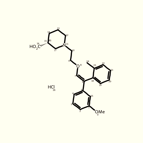 COc1cccc(C(=COCCN2CCC[C@@H](C(=O)O)C2)c2ccccc2C)c1.Cl